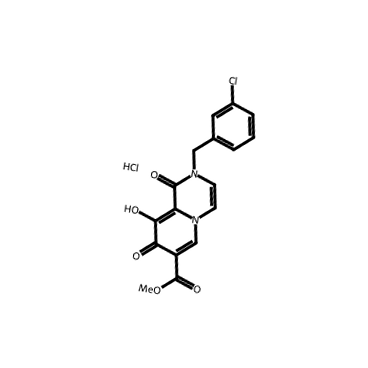 COC(=O)c1cn2ccn(Cc3cccc(Cl)c3)c(=O)c2c(O)c1=O.Cl